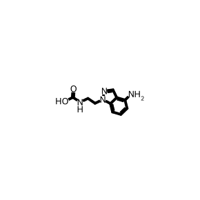 Nc1cccc2c1cnn2CCNC(=O)O